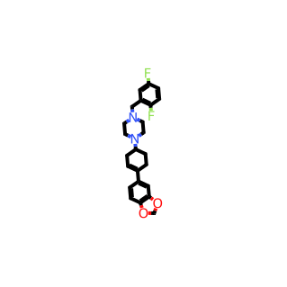 Fc1ccc(F)c(CN2CCN(C3CC=C(c4ccc5c(c4)OCO5)CC3)CC2)c1